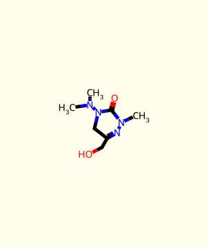 CN1N=C(CO)CN(N(C)C)C1=O